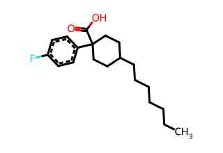 CCCCCCCC1CCC(C(=O)O)(c2ccc(F)cc2)CC1